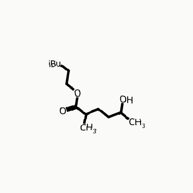 CCC(C)CCOC(=O)C(C)CCC(C)O